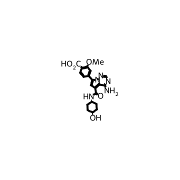 COc1cc(-c2cc(C(=O)N[C@H]3CC[C@H](O)CC3)c3c(N)ncnn23)ccc1C(=O)O